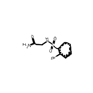 NC(=O)CNS(=O)(=O)c1ccccc1Br